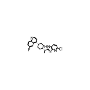 CC(c1nc2nc(Cl)ccc2[nH]1)[C@H]1CC[C@@H](c2ccnc3ccc(F)cc32)CC1